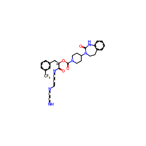 N=C=C=NC=C=C=NC(=O)[C@@H](Cc1cccc(C(F)(F)F)c1)OC(=O)N1CCC(N2CCc3ccccc3NC2=O)CC1